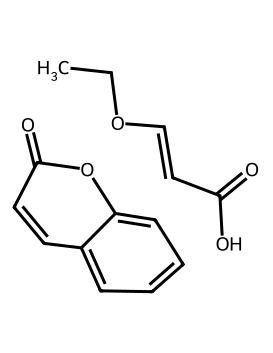 CCOC=CC(=O)O.O=c1ccc2ccccc2o1